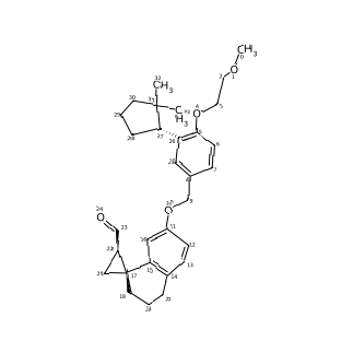 COCCOc1ccc(COc2ccc3c(c2)[C@]2(CCC3)C[C@H]2C=O)cc1[C@@H]1CCCC1(C)C